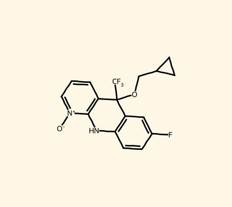 [O-][n+]1cccc2c1Nc1ccc(F)cc1C2(OCC1CC1)C(F)(F)F